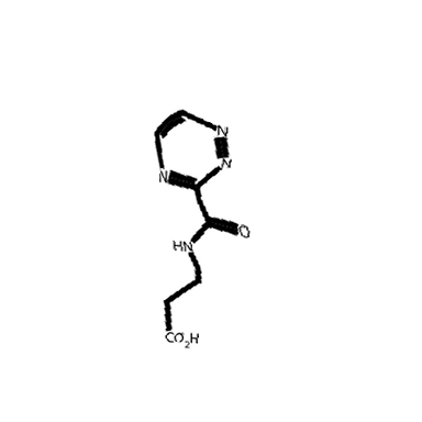 O=C(O)CCNC(=O)c1nccnn1